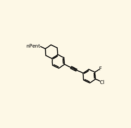 CCCCCC1CCc2cc(C#Cc3ccc(Cl)c(F)c3)ccc2C1